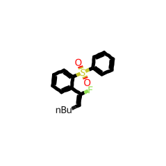 CCCC/C=C(/F)c1ccccc1S(=O)(=O)c1ccccc1